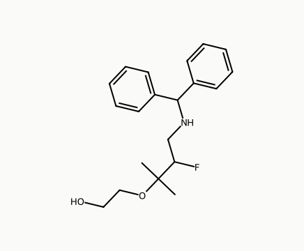 CC(C)(OCCO)C(F)CNC(c1ccccc1)c1ccccc1